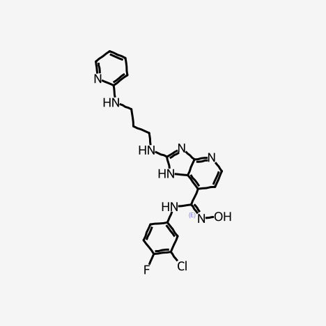 O/N=C(/Nc1ccc(F)c(Cl)c1)c1ccnc2nc(NCCCNc3ccccn3)[nH]c12